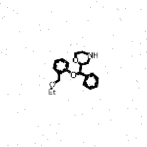 CCOCc1ccccc1OC(c1ccccc1)C1CNCCO1